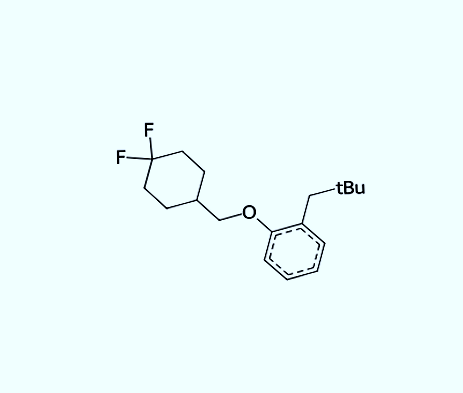 CC(C)(C)Cc1ccccc1OCC1CCC(F)(F)CC1